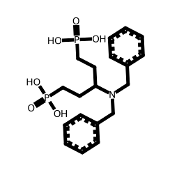 O=P(O)(O)CCC(CCP(=O)(O)O)N(Cc1ccccc1)Cc1ccccc1